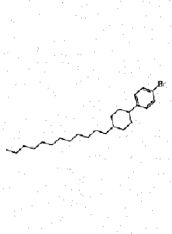 CCCCCCCCCCCCC1CCC(c2ccc(Br)cc2)CC1